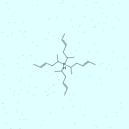 CC=CCC(C)[PH](C(C)CC=CC)(C(C)CC=CC)C(C)CC=CC